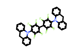 Fc1c(F)c(N2c3ccccc3Cc3ccccc32)c(F)c(F)c1-c1c(F)c(F)c(N2c3ccccc3Cc3ccccc32)c(F)c1F